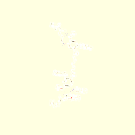 C=C1CC2C=Nc3cc(OCCCCCOc4cc5c(cc4OC)C(=O)N4CC(=C)C[C@H]4[C@H](O)N5C=O)c(OC)cc3C(=O)N2C1